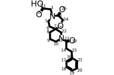 O=C(O)CN1CCC2(CCCN(C(=O)CCc3ccccc3)C2)OCC1=O